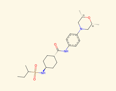 CCC(C)S(=O)(=O)N[C@H]1CC[C@H](C(=O)Nc2ccc(N3C[C@@H](C)O[C@@H](C)C3)cc2)CC1